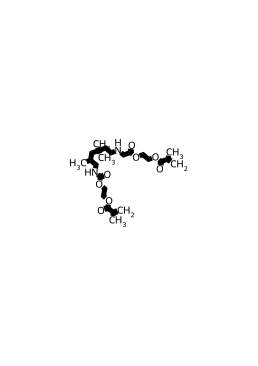 C=C(C)C(=O)OCCOC(=O)CNCCC(C)(C)CC(C)CNC(=O)OCCOC(=O)C(=C)C